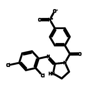 O=C(c1ccc([N+](=O)[O-])cc1)N1CCNC1=Nc1ccc(Cl)cc1Cl